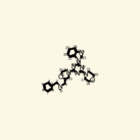 CN(Cc1ccccc1)CC1CN(c2nc(N3CCOCC3)nc(-n3cnc4ccccc43)n2)CCO1